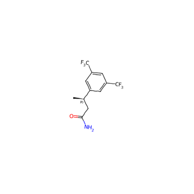 C[C@H](CC(N)=O)c1cc(C(F)(F)F)cc(C(F)(F)F)c1